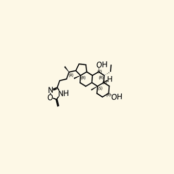 C=C1NC(CC[C@@H](C)C2CCC3C4C(CC[C@@]32C)[C@@]2(C)CC[C@@H](O)C[C@H]2[C@@H](CC)[C@H]4O)=NO1